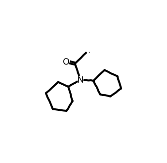 [CH2]C(=O)N(C1CCCCC1)C1CCCCC1